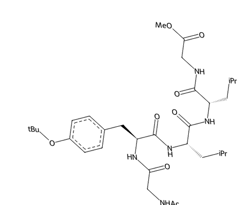 COC(=O)CNC(=O)[C@H](CC(C)C)NC(=O)[C@H](CC(C)C)NC(=O)[C@H](Cc1ccc(OC(C)(C)C)cc1)NC(=O)CNC(C)=O